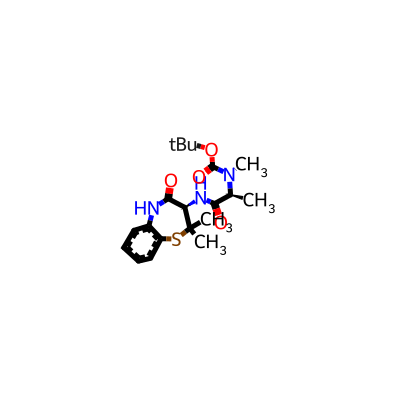 C[C@@H](C(=O)N[C@@H]1C(=O)Nc2ccccc2SC1(C)C)N(C)C(=O)OC(C)(C)C